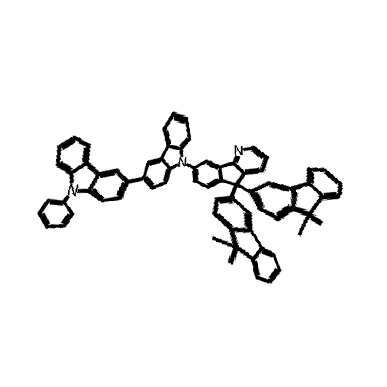 CC1(C)c2ccccc2-c2cc(C3(c4ccc5c(c4)-c4ccccc4C5(C)C)c4ccc(-n5c6ccccc6c6cc(-c7ccc8c(c7)c7ccccc7n8-c7ccccc7)ccc65)cc4-c4ncccc43)ccc21